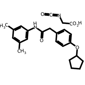 Cc1cc(C)cc(NC(=O)Cc2ccc(OC3CCCC3)cc2)c1.O=C=NCC(=O)O